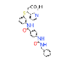 O=C(O)CC(Sc1cccc(NC(=O)c2ccc(NC(=O)NCc3ccccc3)cc2)c1)c1cccnc1